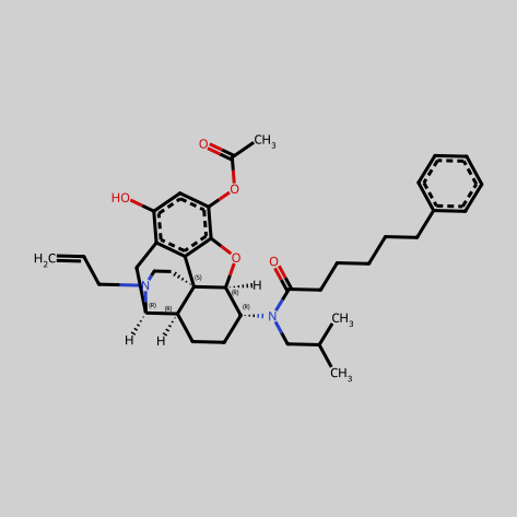 C=CCN1CC[C@]23c4c5c(O)cc(OC(C)=O)c4O[C@H]2[C@H](N(CC(C)C)C(=O)CCCCCc2ccccc2)CC[C@H]3[C@H]1C5